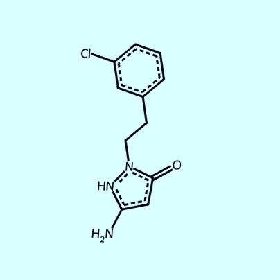 Nc1cc(=O)n(CCc2cccc(Cl)c2)[nH]1